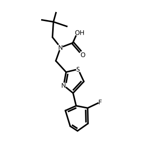 CC(C)(C)CN(Cc1nc(-c2ccccc2F)cs1)C(=O)O